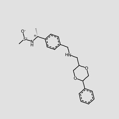 C[C@@H](N[S+](C)[O-])c1ccc(CNCC2COC(c3ccccc3)CO2)cc1